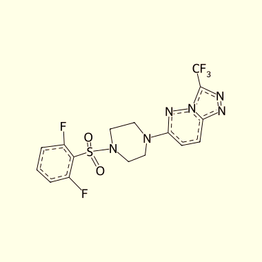 O=S(=O)(c1c(F)cccc1F)N1CCN(c2ccc3nnc(C(F)(F)F)n3n2)CC1